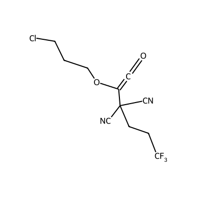 N#CC(C#N)(CCC(F)(F)F)C(=C=O)OCCCCl